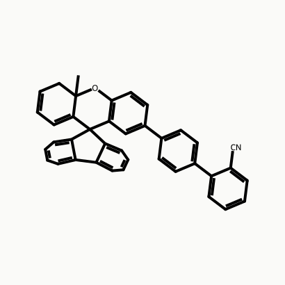 CC12CC=CC=C1C1(c3cc(-c4ccc(-c5ccccc5C#N)cc4)ccc3O2)c2ccccc2-c2ccccc21